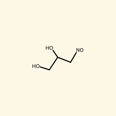 O=NCC(O)CO